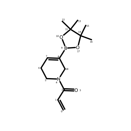 C=CC(=O)N1CCC=C(B2OC(C)(C)C(C)(C)O2)C1